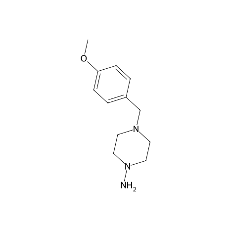 COc1ccc(CN2CCN(N)CC2)cc1